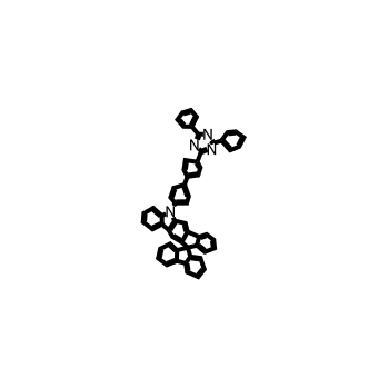 c1ccc(-c2nc(-c3ccccc3)nc(-c3ccc(-c4ccc(-n5c6ccccc6c6cc7c(cc65)-c5ccccc5C75c6ccccc6-c6ccccc65)cc4)cc3)n2)cc1